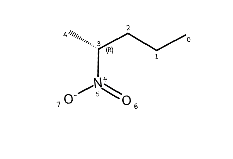 CCC[C@@H](C)[N+](=O)[O-]